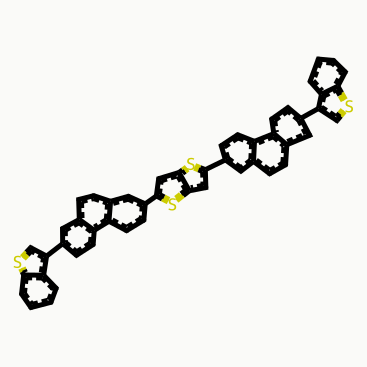 c1ccc2c(-c3ccc4c(ccc5cc(-c6cc7sc(-c8ccc9c(ccc%10cc(-c%11csc%12ccccc%11%12)ccc%109)c8)cc7s6)ccc54)c3)csc2c1